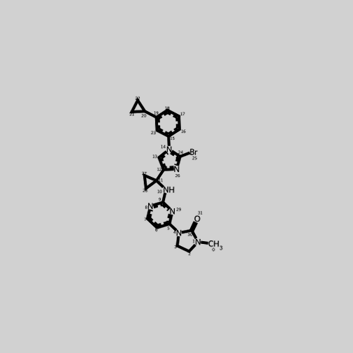 CN1CCN(c2ccnc(NC3(c4cn(-c5cccc(C6CC6)c5)c(Br)n4)CC3)n2)C1=O